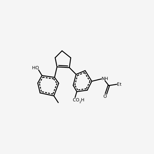 CCC(=O)Nc1cc(C(=O)O)cc(C2=C(c3cc(C)ccc3O)CCC2)c1